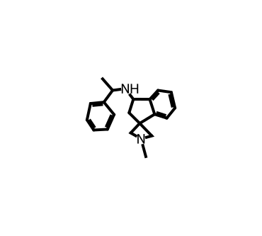 CC(NC1CC2(CN(C)C2)c2ccccc21)c1ccccc1